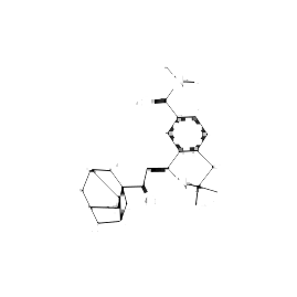 CN(C)C(=O)c1ccc2c(c1)/C(=C/C(=O)C13CC4CC(CC(C4)C1)C3)NC(C)(C)C2